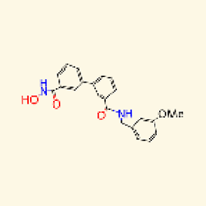 COc1cccc(CNC(=O)c2cccc(-c3cccc(C(=O)NO)c3)c2)c1